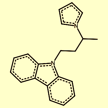 CC(CCn1c2ccccc2c2ccccc21)n1cccc1